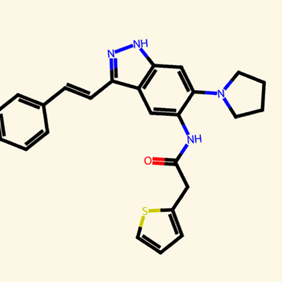 O=C(Cc1cccs1)Nc1cc2c(C=Cc3ccccc3)n[nH]c2cc1N1CCCC1